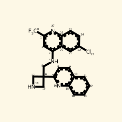 FC(F)(F)c1cc(NCC2(c3ccc4ccccc4n3)CNC2)c2cc(Cl)ccc2n1